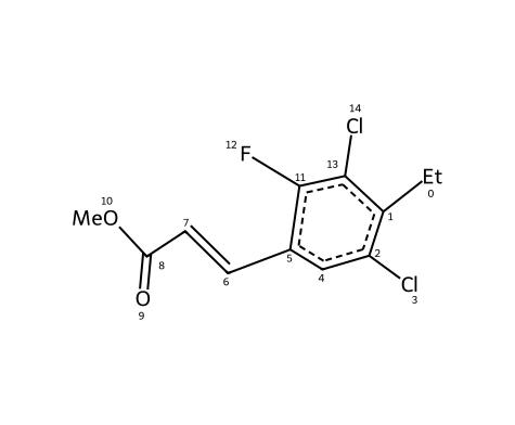 CCc1c(Cl)cc(/C=C/C(=O)OC)c(F)c1Cl